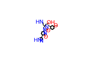 CNCCC1(CCO)CN(c2ccc(-c3cn[nH]c3)c(OC)n2)C(=O)N1Cc1cccc(OC)c1